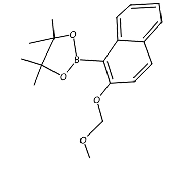 COCOc1ccc2ccccc2c1B1OC(C)(C)C(C)(C)O1